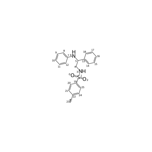 O=S(=O)(NCC(Nc1ccccc1)c1ccccc1)c1ccc(F)cc1